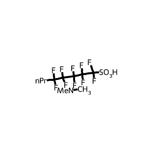 CCCC(F)(F)C(F)(F)C(F)(F)C(F)(F)C(F)(F)S(=O)(=O)O.CNC